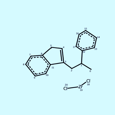 CC(CC1=C[CH]c2ccccc21)c1ccccc1.[Cl][Zr][Cl]